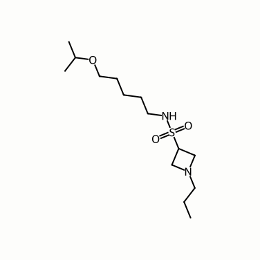 CCCN1CC(S(=O)(=O)NCCCCCOC(C)C)C1